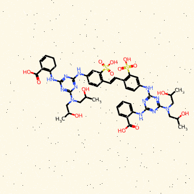 CC(O)CN(CC(C)O)c1nc(NC2=C(C(=O)O)C=CCC2)nc(Nc2ccc(/C=C/c3ccc(Nc4nc(Nc5ccccc5C(=O)O)nc(N(CC(C)O)CC(C)O)n4)cc3S(=O)(=O)O)c(S(=O)(=O)O)c2)n1